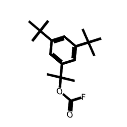 CC(C)(C)c1cc(C(C)(C)C)cc(C(C)(C)OC(=O)F)c1